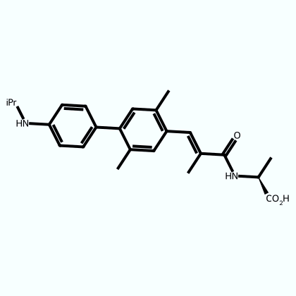 C/C(=C\c1cc(C)c(-c2ccc(NC(C)C)cc2)cc1C)C(=O)N[C@@H](C)C(=O)O